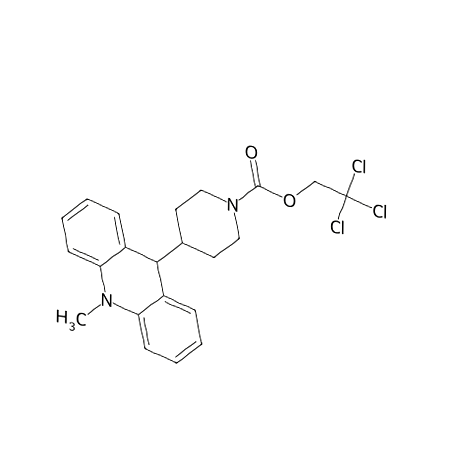 CN1c2ccccc2C(C2CCN(C(=O)OCC(Cl)(Cl)Cl)CC2)c2ccccc21